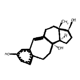 C[C@]12CCC3=Cc4cc(O)ccc4CC[C@]3(O)[C@@H]1CC[C@@H]2O